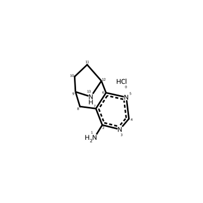 Cl.Nc1ncnc2c1CC1CCC2N1